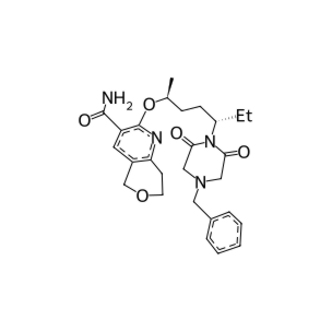 CC[C@@H](CC[C@H](C)Oc1nc2c(cc1C(N)=O)COCC2)N1C(=O)CN(Cc2ccccc2)CC1=O